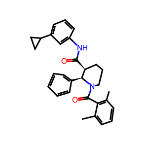 Cc1cccc(C)c1C(=O)N1CCC[C@H](C(=O)Nc2cccc(C3CC3)c2)[C@@H]1c1ccccc1